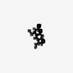 CCc1coc2cc3oc(=O)cc(CC)c3cc12